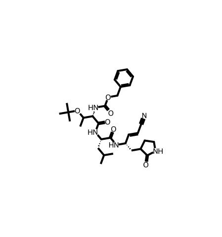 CC(C)C[C@H](NC(=O)[C@@H](NC(=O)OCc1ccccc1)C(C)OC(C)(C)C)C(=O)N[C@H](/C=C/C#N)CC1CCNC1=O